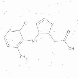 Cc1cccc(Cl)c1Nc1ccsc1CC(=O)O